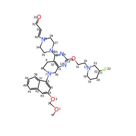 COCOc1cc(N2CCc3c(nc(OCCN4CCC[C@H](F)C4)nc3N3CCN(C=CC=O)CC3)C2)c2ccccc2c1